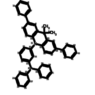 CC1(C)c2cc(-c3ccccc3)ccc2N(c2cccc(P(c3ccccc3)c3ccccc3)c2)c2ccc(-c3ccccc3)cc21